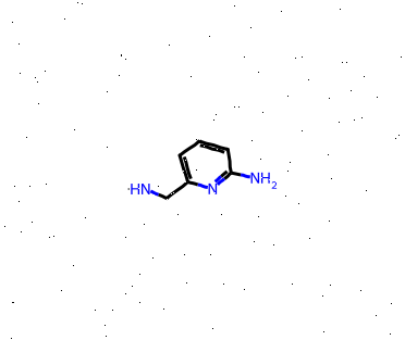 [NH]Cc1cccc(N)n1